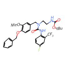 COc1cc(CN(CCNC(=O)OC(C)(C)C)C(=O)Nc2ccc(F)cc2C(F)(F)F)ccc1OCc1ccccc1